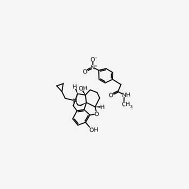 CNC(=O)Cc1ccc([N+](=O)[O-])cc1.Oc1ccc2c3c1O[C@H]1CCC[C@@]4(O)[C@@H](C2)N(CC2CC2)CC[C@]314